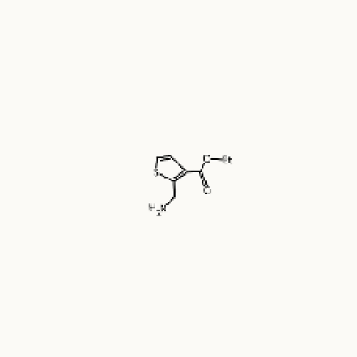 CCOC(=O)c1ccsc1CN